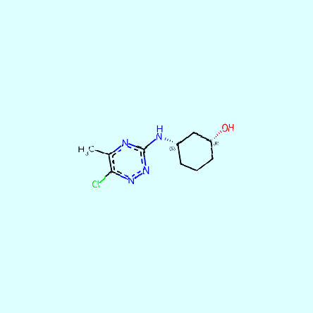 Cc1nc(N[C@H]2CCC[C@@H](O)C2)nnc1Cl